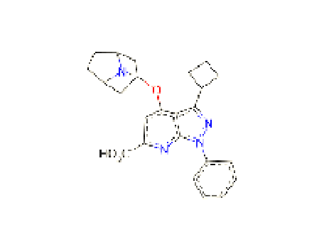 CN1C2CCC1CC(Oc1cc(C(=O)O)nc3c1c(C1CCC1)nn3-c1ccccc1)C2